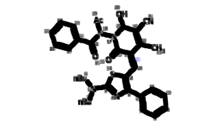 CCCCN(CCCC)c1nc(-c2ccccc2)c(/C=C2\C(=O)N(N(C(C)=O)C(=O)c3ccccc3)C(O)C(C#N)=C2C)s1